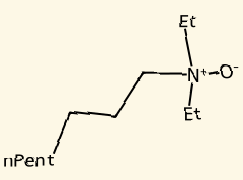 CCCCCCCC[N+]([O-])(CC)CC